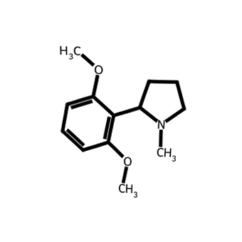 COc1cccc(OC)c1C1CCCN1C